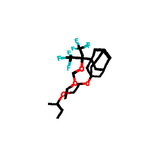 CCOCOC(C(F)(F)F)(C(F)(F)F)C12CC3CC(CC(OCCOC(C)CC)(C3)C1)C2